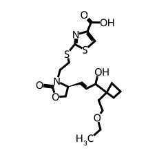 CCOCCC1(C(O)C=C[C@H]2COC(=O)N2CCSc2nc(C(=O)O)cs2)CCC1